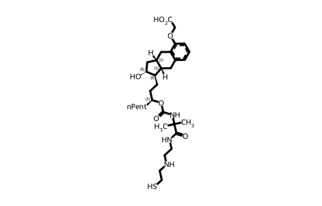 CCCCC[C@@H](CC[C@@H]1[C@H]2Cc3cccc(OCC(=O)O)c3C[C@H]2C[C@H]1O)OC(=O)NC(C)(C)C(=O)NCCNCCS